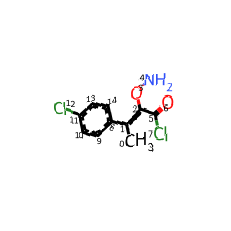 CC(=C(ON)C(=O)Cl)c1ccc(Cl)cc1